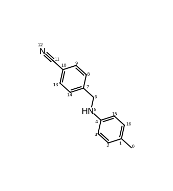 Cc1ccc(NCc2ccc(C#N)cc2)cc1